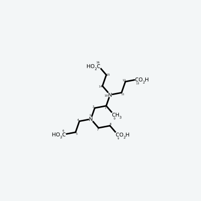 CC(CN(CCC(=O)O)CCC(=O)O)N(CCC(=O)O)CCC(=O)O